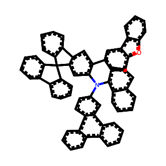 c1ccc2c(c1)-c1ccccc1C21c2ccccc2-c2cc(-c3ccc4oc5ccccc5c4c3)c(N(c3ccc4c5ccccc5c5ccccc5c4c3)c3cccc4ccccc34)cc21